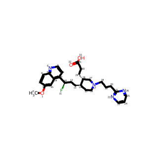 COc1ccc2nccc([C@H](F)CC[C@@H]3CCN(CCCc4ncccn4)C[C@H]3CCC(=O)O)c2c1